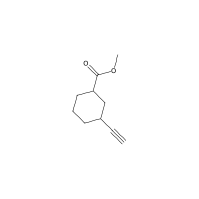 C#CC1CCCC(C(=O)OC)C1